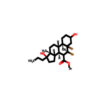 CC(C)OC(=O)C1C(Br)C2(Br)CC(O)CC[C@]2(C)[C@H]2CC[C@@]3(C)[C@@H](CC[C@]3(O)CCC(=O)O)[C@H]12